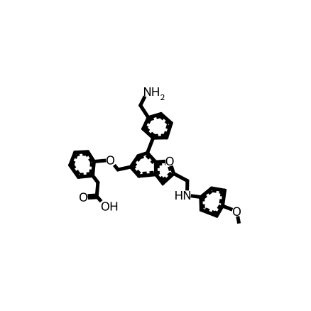 COc1ccc(NCc2cc3cc(COc4ccccc4CC(=O)O)cc(-c4cccc(CN)c4)c3o2)cc1